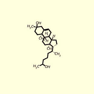 CC(O)CCC[C@@H](C)[C@H]1CC[C@H]2[C@@H]3CC=C4C[C@@](C)(O)CC[C@]4(C)[C@H]3CC[C@]12C